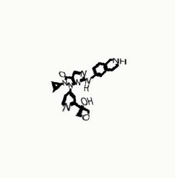 O=c1c2cnc(Nc3ccc4c(c3)CCNC4)nc2n(-c2ccnc(C3(O)COC3)c2)n1C1CC1